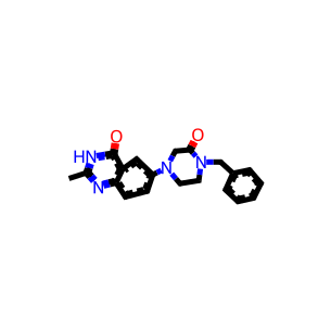 Cc1nc2ccc(N3CCN(Cc4ccccc4)C(=O)C3)cc2c(=O)[nH]1